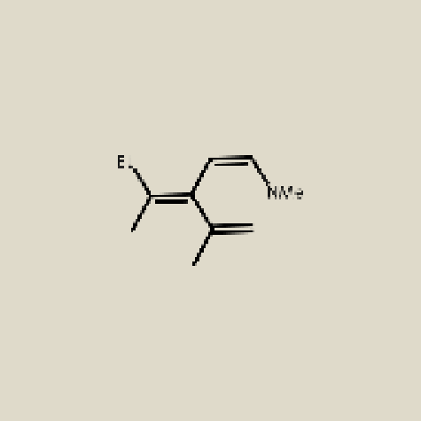 C=C(C)C(/C=C\NC)=C(\C)CC